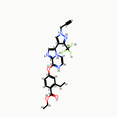 C#CCn1cc(-c2cnc3c(Oc4ccc(C(=O)OCC)c(CC)c4)nccn23)c(C(F)(F)F)n1